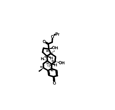 CC(C)OCC(=O)[C@@]1(O)CC[C@H]2[C@@H]3C[C@H](C)C4=CC(=O)C=C[C@]4(C)[C@H]3[C@@H](O)C[C@@]21C